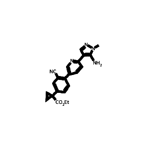 CCOC(=O)C1(c2ccc(-c3ccc(-c4cnn(C)c4N)nc3)c(C#N)c2)CC1